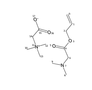 C=CCOC(=O)CN(C)C.C[N+](C)(C)CC(=O)[O-]